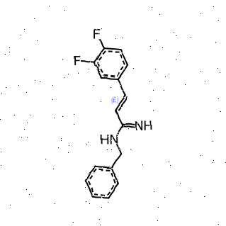 N=C(/C=C/c1ccc(F)c(F)c1)NCc1ccccc1